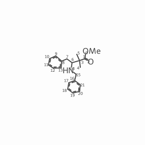 COC(=O)C(C)(C)C(Cc1ccccc1)NCc1ccccc1